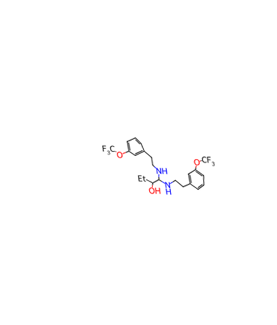 CCC(O)C(NCCc1cccc(OC(F)(F)F)c1)NCCc1cccc(OC(F)(F)F)c1